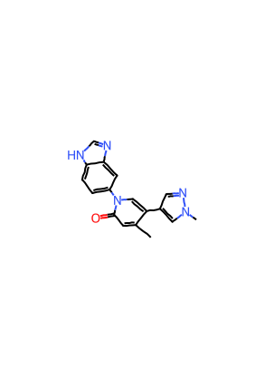 Cc1cc(=O)n(-c2ccc3[nH]cnc3c2)cc1-c1cnn(C)c1